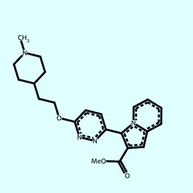 COC(=O)c1cc2ccccn2c1-c1ccc(OCCC2CCN(C)CC2)nn1